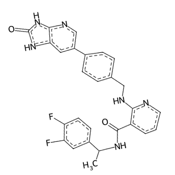 CC(NC(=O)c1cccnc1NCc1ccc(-c2cnc3[nH]c(=O)[nH]c3c2)cc1)c1ccc(F)c(F)c1